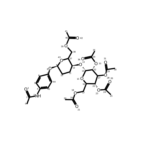 CC(=O)Nc1ccc(O[C@@H]2CC[C@H](O[C@H]3OC(COC(C)=O)[C@@H](OC(C)=O)C(OC(C)=O)[C@H]3OC(C)=O)C(COC(C)=O)O2)cc1